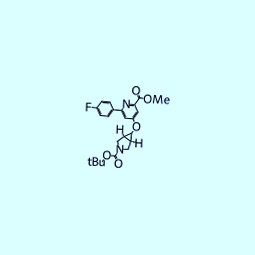 COC(=O)c1cc(O[C@H]2[C@@H]3CN(C(=O)OC(C)(C)C)C[C@@H]32)cc(-c2ccc(F)cc2)n1